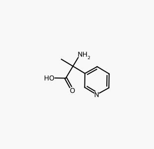 CC(N)(C(=O)O)c1cccnc1